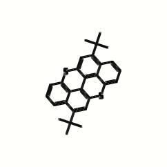 CC(C)(C)c1cc2sc3cccc4c(C(C)(C)C)cc5sc6cccc1c6c2-c5c34